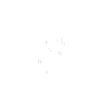 CC(=O)Nc1ncc(-c2cncc(F)c2)nc1C(F)(F)F